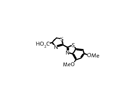 COc1cc(OC)c2nc(C3=NC(C(=O)O)CS3)sc2c1